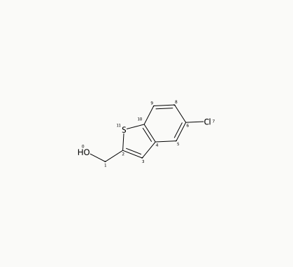 OCc1cc2cc(Cl)ccc2s1